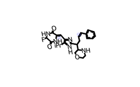 CC(C)c1[nH]c(C(C/C=C\c2ccccc2)C2COCCN2)nc1/C=C1\NC(=O)C(F)NC1=O